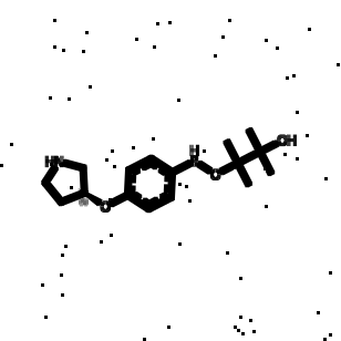 CC(C)(O)C(C)(C)OBc1ccc(O[C@H]2CCNC2)cc1